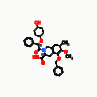 COC1=C(OCc2ccccc2)C2=C(CC1C)CN(C(=O)[C@@H](OC1CCC(O)CC1)c1ccccc1)[C@H](C(=O)O)C2